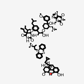 C=CCC1(C(C)CC)C(=O)NC(=O)NC1=O.CC(C)Cc1ccc(C(C)C(=O)O)cc1.CC(CN1c2ccccc2Sc2ccccc21)N(C)C.COc1cccc([C@@]2(O)CCCC[C@@H]2CN(C)C)c1.Cn1c(=O)c2c(ncn2C)n(C)c1=O.O=C1CC[C@@]2(O)[C@H]3Cc4ccc(O)c5c4[C@@]2(CCN3CC2CC2)[C@H]1O5